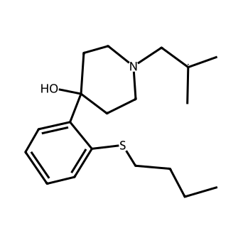 CCCCSc1ccccc1C1(O)CCN(C[C](C)C)CC1